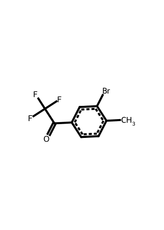 Cc1ccc(C(=O)C(F)(F)F)cc1Br